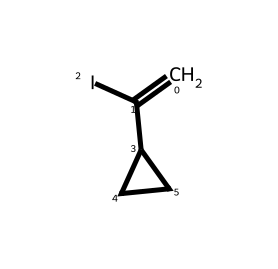 C=C(I)C1CC1